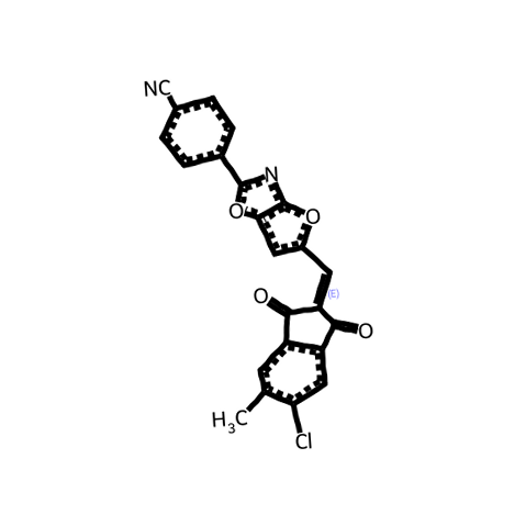 Cc1cc2c(cc1Cl)C(=O)/C(=C/c1cc3oc(-c4ccc(C#N)cc4)nc3o1)C2=O